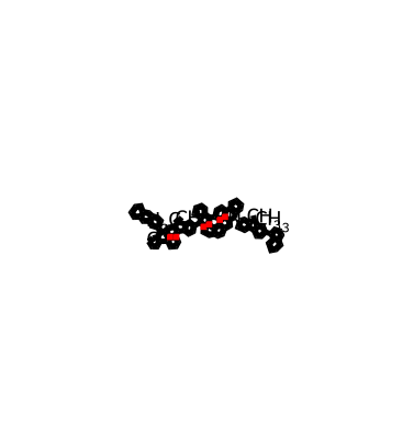 CC1(C)c2cc(-c3cccc4ccccc34)ccc2-c2ccc(N(c3ccc4c(ccc5ccccc54)c3)c3ccccc3-c3ccc(-c4ccc(-c5ccc6c(c5)C(C)(C)c5cc(N(c7ccc8cc9ccccc9cc8c7)c7ccccc7-c7ccccc7)ccc5-6)c5ccccc45)cc3)cc21